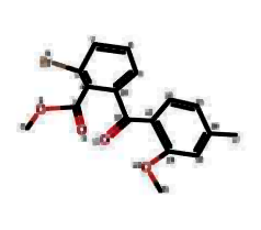 COC(=O)c1c(Br)cccc1C(=O)c1ccc(C)cc1OC